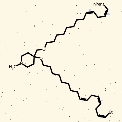 CC/C=C\C/C=C\C/C=C\CCCCCCCCOC1(COCCCCCCCC/C=C\C/C=C\CCCCC)CCN(C)CC1